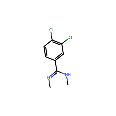 C/N=C(\NC)c1ccc(Cl)c(Cl)c1